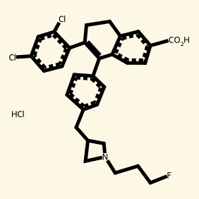 Cl.O=C(O)c1ccc2c(c1)CCC(c1ccc(Cl)cc1Cl)=C2c1ccc(CC2CN(CCCF)C2)cc1